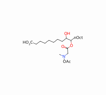 CCCCCCCCC(OC(=O)CN(C)OC(C)=O)C(O)CCCCCCCC(=O)O